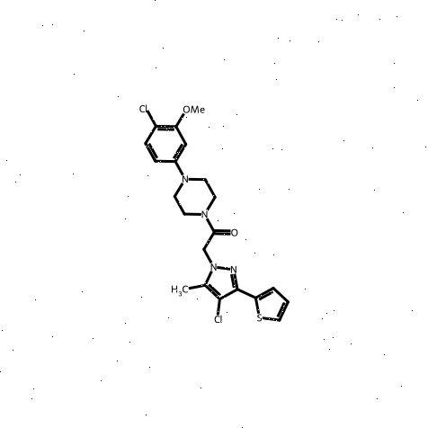 COc1cc(N2CCN(C(=O)Cn3nc(-c4cccs4)c(Cl)c3C)CC2)ccc1Cl